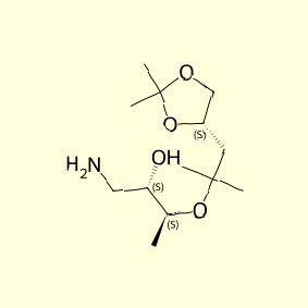 C[C@H](OC(C)(C)C[C@H]1COC(C)(C)O1)[C@@H](O)CN